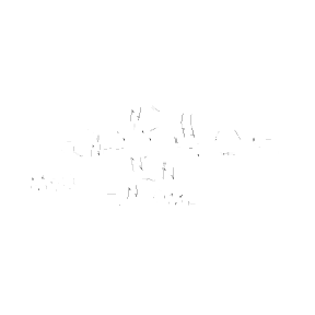 COCC(=O)N[C@@H](C)CNc1nccc(-c2[nH]c(-c3ccc(C(F)(F)F)cc3)nc2-c2cnc(N)c(OC)n2)n1